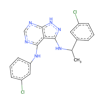 CC(Nc1n[nH]c2ncnc(Nc3cccc(Cl)c3)c12)c1cccc(Cl)c1